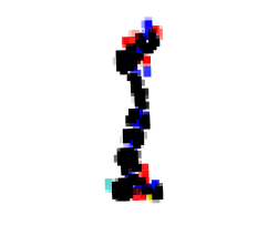 O=C1CCC(N2C(=O)c3cccc(NCCCCCCN4CCN(C5CCN(c6ccc7c(c6)C(=O)N(C(C(=O)Nc6nccs6)c6cc(F)ccc6O)C7)CC5)CC4)c3C2=O)C(=O)N1